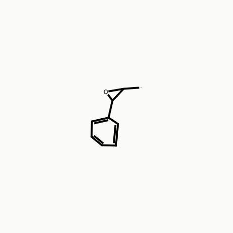 [CH2]C1OC1c1ccccc1